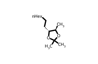 CCCCCCCC[C@H]1OC(C)(C)O[C@@H]1C